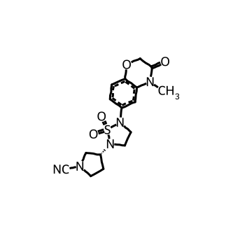 CN1C(=O)COc2ccc(N3CCN([C@@H]4CCN(C#N)C4)S3(=O)=O)cc21